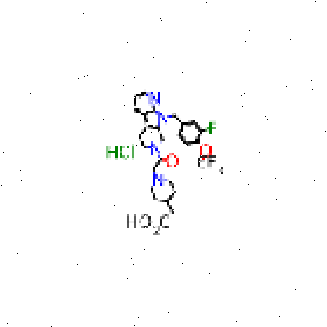 Cl.O=C(O)CC1CCN(CC(=O)N2CCc3c(n(Cc4ccc(OC(F)(F)F)c(F)c4)c4ncccc34)C2)CC1